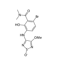 COc1n[s+]([O-])nc1Nc1ccc(Br)c(C(=O)N(C)C)c1O